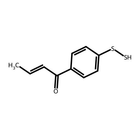 CC=CC(=O)c1ccc(SS)cc1